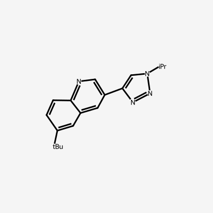 CC(C)n1cc(-c2cnc3ccc(C(C)(C)C)cc3c2)nn1